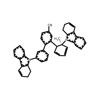 C[C@]1(n2c3c(c4ccccc42)C=CCC3)C=CC=CC1c1cc(C#N)ccc1-c1cccc(-n2c3c(c4ccccc42)C=CCC3)c1